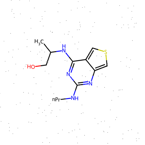 CCCNc1nc(NC(C)CO)c2cscc2n1